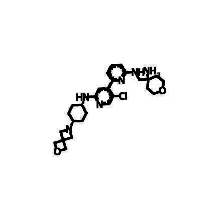 NC1(CNc2cccc(-c3cc(N[C@H]4CC[C@H](N5CC6(COC6)C5)CC4)ncc3Cl)n2)CCOCC1